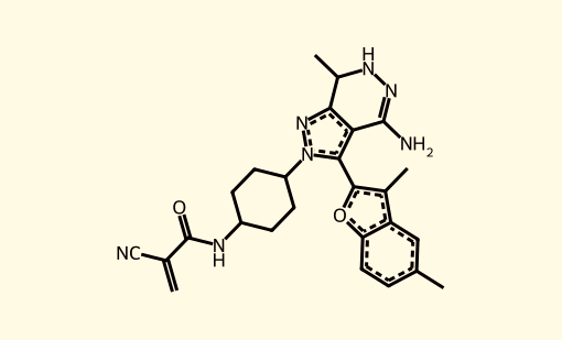 C=C(C#N)C(=O)NC1CCC(n2nc3c(c2-c2oc4ccc(C)cc4c2C)C(N)=NNC3C)CC1